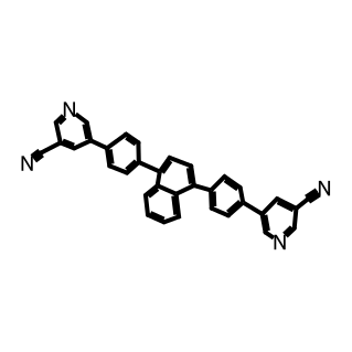 N#Cc1cncc(-c2ccc(-c3ccc(-c4ccc(-c5cncc(C#N)c5)cc4)c4ccccc34)cc2)c1